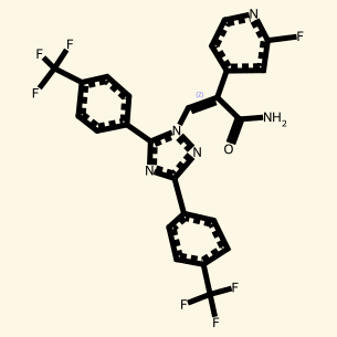 NC(=O)/C(=C\n1nc(-c2ccc(C(F)(F)F)cc2)nc1-c1ccc(C(F)(F)F)cc1)c1ccnc(F)c1